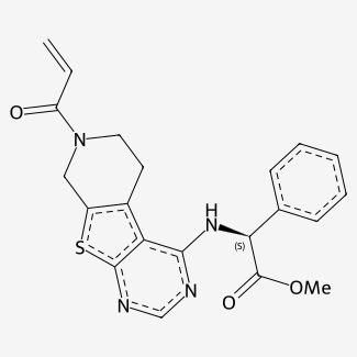 C=CC(=O)N1CCc2c(sc3ncnc(N[C@H](C(=O)OC)c4ccccc4)c23)C1